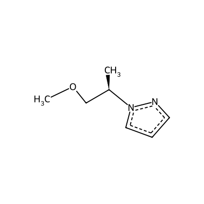 COC[C@@H](C)n1cccn1